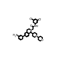 NC1=CC(c2ccc3c(c2)CCN(CC(=O)NC2C=C(Cl)C=C(Cl)C2)C3C2CCN(C3CCOCC3)CC2)CC=C1